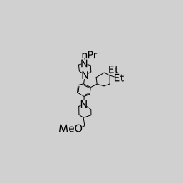 CCCN1CCN(c2ccc(N3CCC(COC)CC3)cc2C2CCC(CC)(CC)CC2)CC1